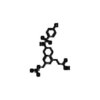 O=C(O)CCc1cc(CO[N+](=O)[O-])cc2c1CCC(NS(=O)(=O)c1ccc(Cl)cc1)C2